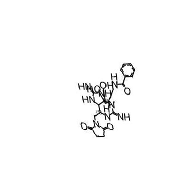 N=C1NC2[C@H](CN3C(=O)CCC3=O)NC(=N)N3CC(NC(=O)c4ccccc4)C(O)(O)[C@@]23N1